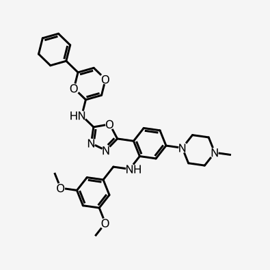 COc1cc(CNc2cc(N3CCN(C)CC3)ccc2-c2nnc(NC3=COC=C(C4=CC=CCC4)O3)o2)cc(OC)c1